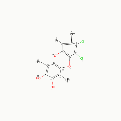 CCCc1c(Cl)c(Cl)c2c(c1CCC)Oc1c(CCC)c(O)c(O)c(CCC)c1O2